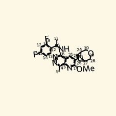 COc1nc2c(C)nnc(N[C@H](C)c3ccc(F)cc3F)c2cc1N1C2CCC1COC2